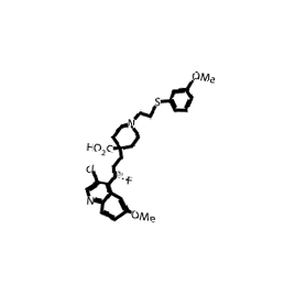 COc1cccc(SCCN2CCC(CC[C@H](F)c3c(Cl)cnc4ccc(OC)cc34)(C(=O)O)CC2)c1